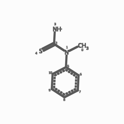 CN(C([NH])=S)c1ccccc1